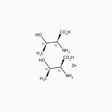 C[C@@H](O)[C@H](N)C(=O)O.C[C@@H](O)[C@H](N)C(=O)O.[Zn]